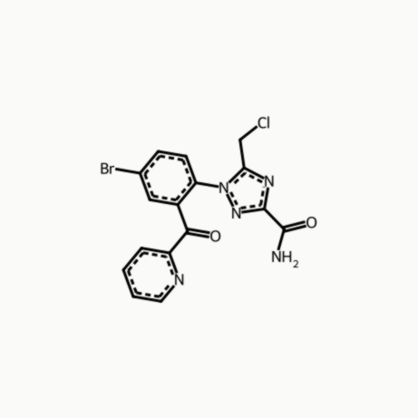 NC(=O)c1nc(CCl)n(-c2ccc(Br)cc2C(=O)c2ccccn2)n1